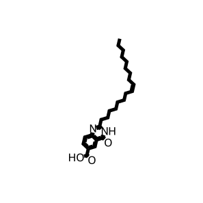 CCCCCCCC/C=C\CCCCCCCc1nc2ccc(C(=O)O)cc2c(=O)[nH]1